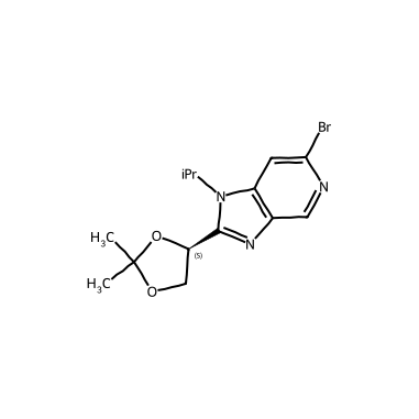 CC(C)n1c([C@H]2COC(C)(C)O2)nc2cnc(Br)cc21